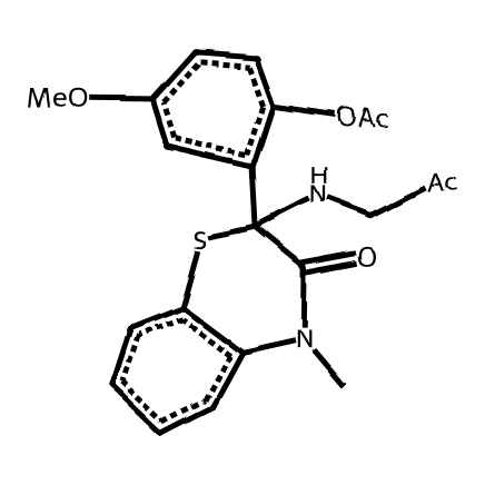 COc1ccc(OC(C)=O)c(C2(NCC(C)=O)Sc3ccccc3N(C)C2=O)c1